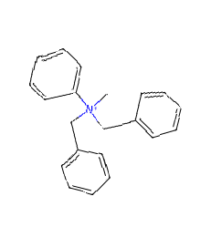 C[N+](Cc1ccccc1)(Cc1ccccc1)c1ccccc1